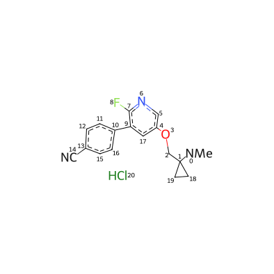 CNC1(COc2cnc(F)c(-c3ccc(C#N)cc3)c2)CC1.Cl